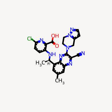 Cc1cc([C@@H](C)Nc2ccc(Cl)nc2C(=O)O)c2nc(N3CCn4nccc4C3)c(C#N)nc2c1